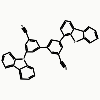 N#Cc1cc(-c2cc(C#N)cc(-n3c4ccccc4c4ccccc43)c2)cc(-c2cccc3c2oc2ccccc23)c1